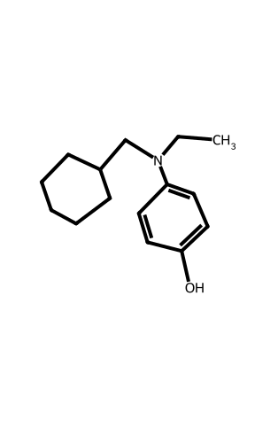 CCN(CC1CCCCC1)c1ccc(O)cc1